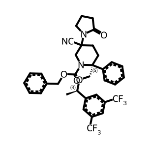 C[C@@H](OC[C@@]1(c2ccccc2)CCC(C#N)(N2CCCC2=O)CN1C(=O)OCc1ccccc1)c1cc(C(F)(F)F)cc(C(F)(F)F)c1